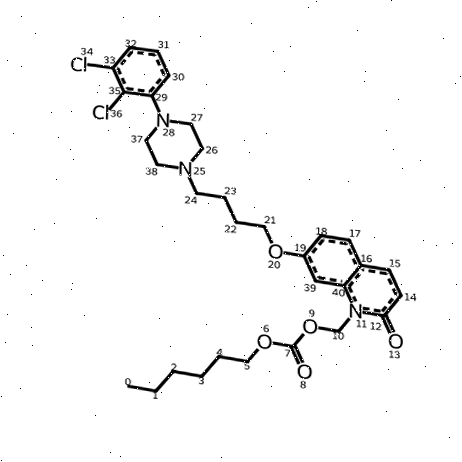 CCCCCCOC(=O)OCn1c(=O)ccc2ccc(OCCCCN3CCN(c4cccc(Cl)c4Cl)CC3)cc21